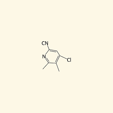 [C-]#[N+]c1cc(Cl)c(C)c(C)n1